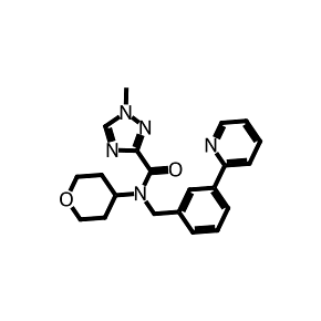 Cn1cnc(C(=O)N(Cc2cccc(-c3ccccn3)c2)C2CCOCC2)n1